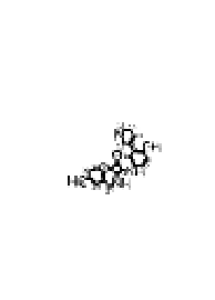 C[C@H](Nc1c(Nc2ccc(O)c(-c3cccnc3)c2)c(=O)c1=O)c1cccc(O)c1